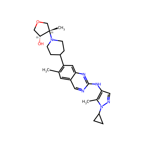 Cc1cc2cnc(Nc3cnn(C4CC4)c3C)nc2cc1C1CCN([C@@]2(C)COC[C@H]2O)CC1